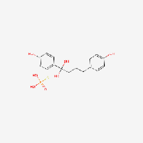 O=P(O)(O)Sc1cc(O)ccc1C(O)(O)CCCc1ccc(O)cc1